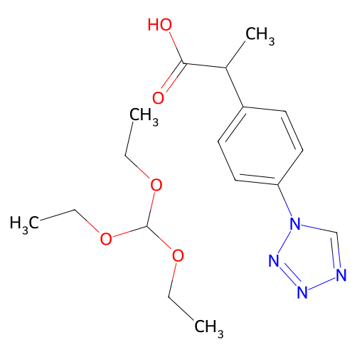 CC(C(=O)O)c1ccc(-n2cnnn2)cc1.CCOC(OCC)OCC